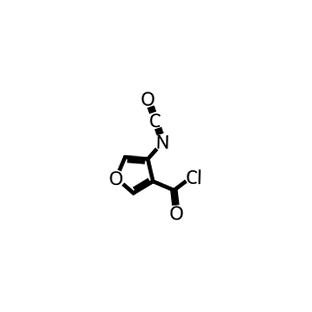 O=C=Nc1cocc1C(=O)Cl